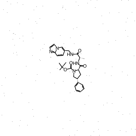 C[C@H](NC(=O)[C@H]1C[C@H](c2ccccc2)CN1C(=O)OC(C)(C)C)C(=O)NCc1ccc2nccn2c1